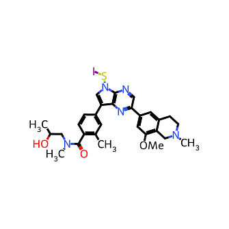 COc1cc(-c2cnc3c(n2)c(-c2ccc(C(=O)N(C)CC(C)O)c(C)c2)cn3SI)cc2c1CN(C)CC2